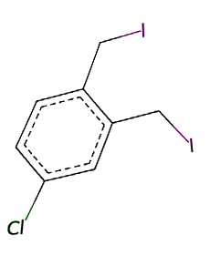 Clc1ccc(CI)c(CI)c1